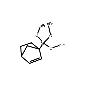 CCCO[Si](OCCC)(OCCC)C12C=CC(CC1)C2